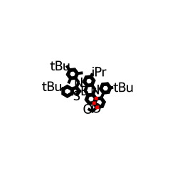 Cc1cc(C(C)(C)C)cc(C)c1N1c2cc(C(C)C)cc3c2B(c2cc4c(cc2N3c2ccc(C(C)(C)C)cc2-c2ccccc2)OCO4)c2sc3ccc(C(C)(C)C)cc3c21